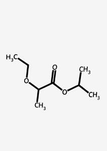 CCOC(C)C(=O)OC(C)C